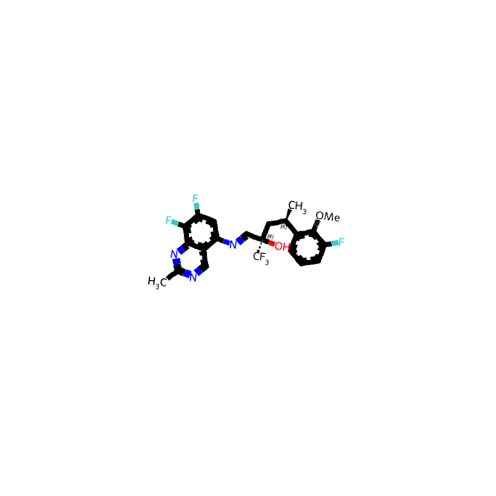 COc1c(F)cccc1[C@H](C)C[C@@](O)(C=Nc1cc(F)c(F)c2nc(C)ncc12)C(F)(F)F